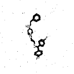 Fc1ccc(C(SCCN2CCC(NCCc3ccccc3)CC2)c2ccc(F)cc2)cc1